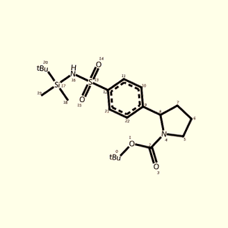 CC(C)(C)OC(=O)N1CCCC1c1ccc(S(=O)(=O)N[Si](C)(C)C(C)(C)C)cc1